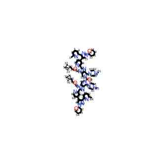 Cc1cccc(-c2nn(C3CCCCO3)cc2-c2ccnc(-c3nc4c(n3COCC[Si](C)(C)C)CN(C(=O)N3Cc5c(nc(-c6cc(-c7cn(C8CCCCO8)nc7-c7cccc(C)n7)ccn6)n5COCC[Si](C)(C)C)C3N3CCN(C)CC3)C4N3CCN(C)CC3)c2)n1